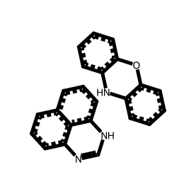 C1=Nc2cccc3cccc(c23)N1.c1ccc2c(c1)Nc1ccccc1O2